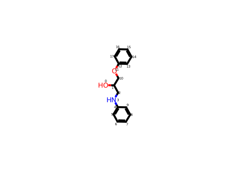 OC(CNc1ccccc1)COc1ccccc1